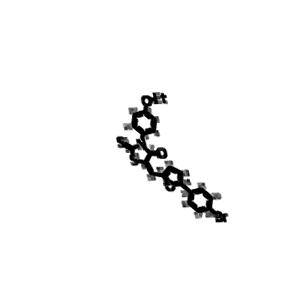 CCOc1ccc(N2C(=O)/C(=C\c3ccc(-c4ccc(Br)cc4)o3)SC2=S)cc1